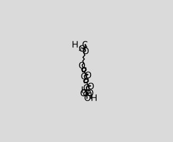 C=CC(=O)OCCCCCCOc1ccc(C(=O)Oc2ccc(C(=O)O[C@H]3CO[C@H]4[C@@H]3OC[C@H]4O)cc2)cc1